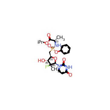 CC(C)OC(=O)[C@H](C)N[P@](=O)(C[C@H]1O[C@@H](n2ccc(=O)[nH]c2=O)[C@](C)(F)[C@@H]1O)Oc1ccccc1